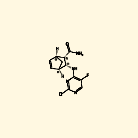 NC(=O)[C@@H]1[C@H](Nc2nc(Cl)ncc2F)[C@H]2C=C[C@@H]1C2